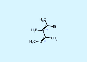 BC(/C(C)=C\C)=C(\C)CC